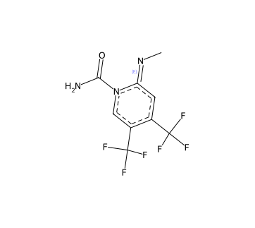 C/N=c1\cc(C(F)(F)F)c(C(F)(F)F)cn1C(N)=O